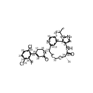 CC(F)n1ncc2c1-c1ccnc(c1)[C@@H](N1CCC(c3c(Cl)ccc(Cl)c3F)=CC1=O)CCC[C@@H](C)C(=O)N2